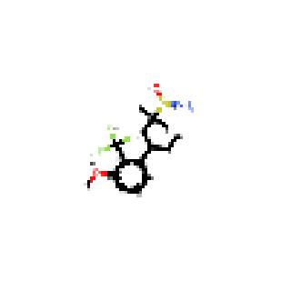 CCC(CC(C)(C)[S+](N)[O-])c1cccc(OC)c1C(F)(F)F